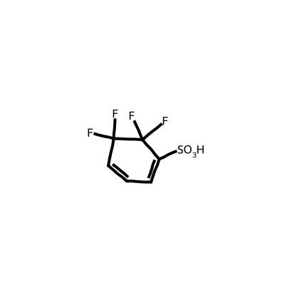 O=S(=O)(O)C1=CC=CC(F)(F)C1(F)F